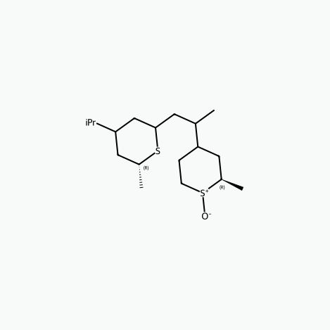 CC(C)C1CC(CC(C)C2CC[S+]([O-])[C@H](C)C2)S[C@H](C)C1